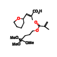 C=C(C)C(=O)OCCC[Si](OC)(OC)OC.CC(=CC1CCCCO1)C(=O)O